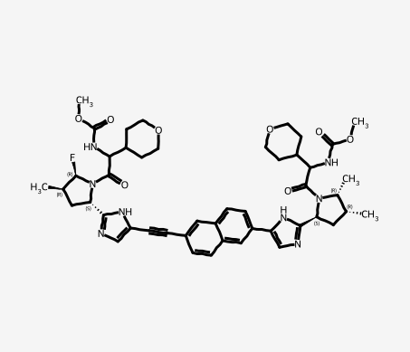 COC(=O)NC(C(=O)N1[C@H](C)[C@H](C)C[C@H]1c1ncc(-c2ccc3cc(C#Cc4cnc([C@@H]5C[C@@H](C)[C@@H](F)N5C(=O)C(NC(=O)OC)C5CCOCC5)[nH]4)ccc3c2)[nH]1)C1CCOCC1